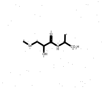 C[Se]CC(O)C(=O)NC(C)C(=O)O